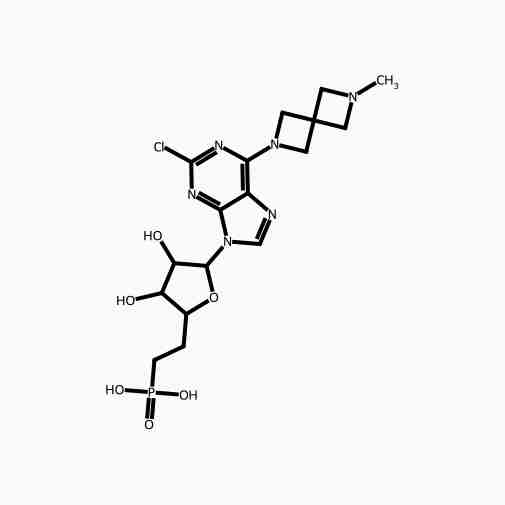 CN1CC2(C1)CN(c1nc(Cl)nc3c1ncn3C1OC(CCP(=O)(O)O)C(O)C1O)C2